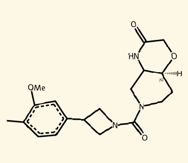 COc1cc(C2CN(C(=O)N3CC[C@@H]4OCC(=O)NC4C3)C2)ccc1C